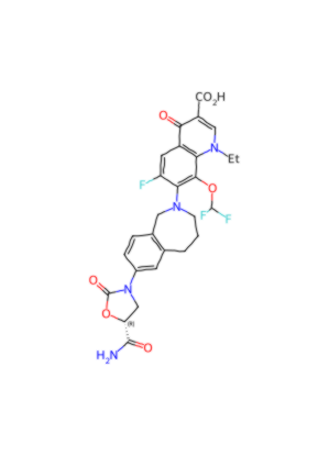 CCn1cc(C(=O)O)c(=O)c2cc(F)c(N3CCCc4cc(N5C[C@H](C(N)=O)OC5=O)ccc4C3)c(OC(F)F)c21